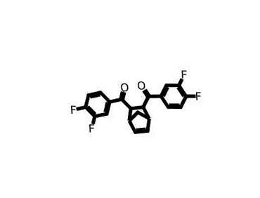 O=C(c1ccc(F)c(F)c1)C1C2C=CC(C2)C1C(=O)c1ccc(F)c(F)c1